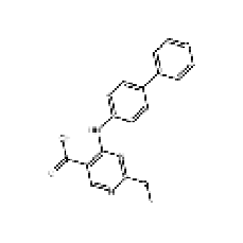 CSc1ncc(C(=O)O)c(Nc2ccc(-c3ccncc3)cc2)n1